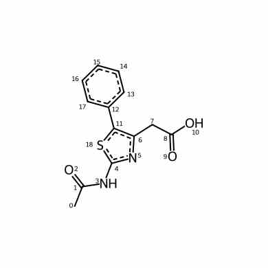 CC(=O)Nc1nc(CC(=O)O)c(-c2ccccc2)s1